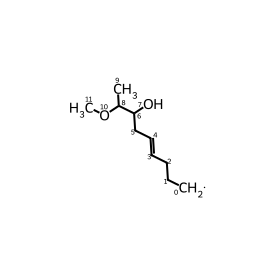 [CH2]CCC=CCC(O)C(C)OC